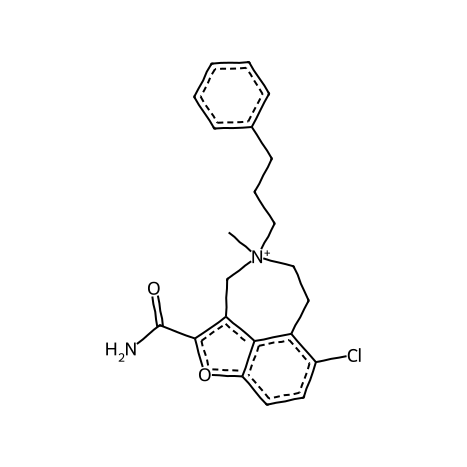 C[N+]1(CCCc2ccccc2)CCc2c(Cl)ccc3oc(C(N)=O)c(c23)C1